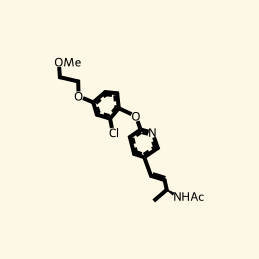 COCCOc1ccc(Oc2ccc(/C=C/[C@H](C)NC(C)=O)cn2)c(Cl)c1